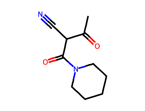 CC(=O)C(C#N)C(=O)N1CCCCC1